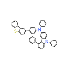 c1ccc(-c2cccc3c2c2cc(N(c4ccccc4)c4ccc(-c5ccc6sc7ccccc7c6c5)cc4)ccc2n3-c2ccccc2)cc1